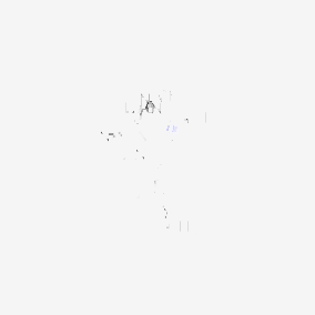 COC[C@H]1CCCN(C(/C=C(/C)N(C)C)=C(C#N)C#N)C1